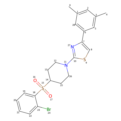 Cc1cc(C)cc(-c2csc(N3CCC(S(=O)(=O)c4ccccc4Br)CC3)n2)c1